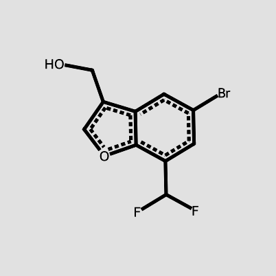 OCc1coc2c(C(F)F)cc(Br)cc12